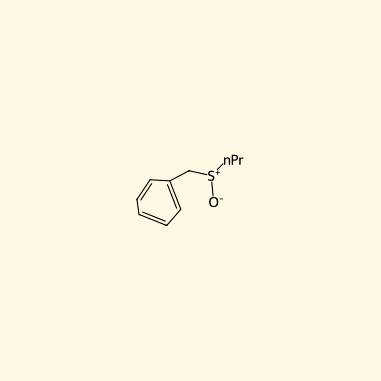 CCC[S+]([O-])Cc1ccccc1